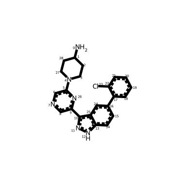 NC1CCN(c2cncc(-c3n[nH]c4ccc(-c5ccccc5Cl)cc34)n2)CC1